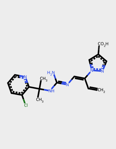 C=C/C(=C\N=C(/N)NC(C)(C)c1ncccc1Cl)n1cc(C(=O)O)cn1